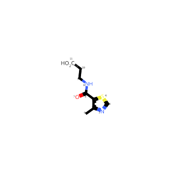 Cc1n[c]sc1C(=O)NCCC(=O)O